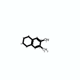 Cc1cc2c(cc1O)CCCC2